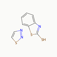 Sc1nc2ccccc2s1.c1csnn1